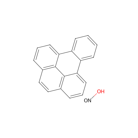 O=NO.c1ccc2c(c1)c1cccc3ccc4cccc2c4c31